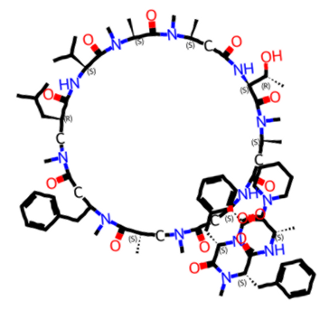 CC(C)C[C@@H]1CN(C)C(=O)CC(Cc2ccccc2)N(C)C(=O)[C@@H](C)CN(C)C(=O)C[C@@H](C(=O)N(C)[C@@H](Cc2ccccc2)C(=O)N(C)[C@@H](Cc2ccccc2)C(=O)N[C@@H](C)C(=O)N2CCCCC2)NC(=O)C[C@H](C)N(C)C(=O)[C@H]([C@@H](C)O)NC(=O)C[C@H](C)N(C)C(=O)[C@H](C)N(C)C(=O)[C@H](C(C)C)NC1=O